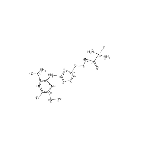 CCc1nc(C(N)=O)c(Nc2cccc(CCNC(=O)[C@@](C)(N)[SiH3])c2)nc1NC(C)C